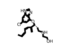 C=C(/C=C\C=C/C)[C@@H](CCNCCO)Oc1cc(Cl)cc2[nH]cnc12